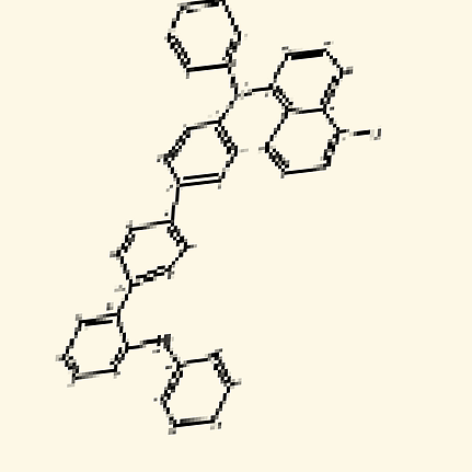 Clc1cccc2c(N(c3ccccc3)c3ccc(-c4ccc(-c5ccccc5Nc5ccccc5)cc4)cc3)cccc12